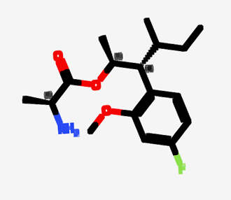 CCC(C)[C@H](c1ccc(F)cc1OC)[C@H](C)OC(=O)[C@H](C)N